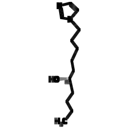 CCCC[C@H](O)CCCCCn1ccnc1